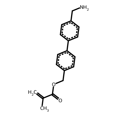 C=C(C)C(=O)OCc1ccc(-c2ccc(CN)cc2)cc1